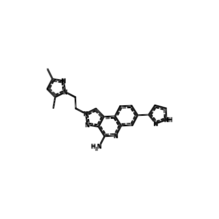 Cc1cc(C)n(CCn2cc3c(n2)c(N)nc2cc(-c4cc[nH]n4)ccc23)n1